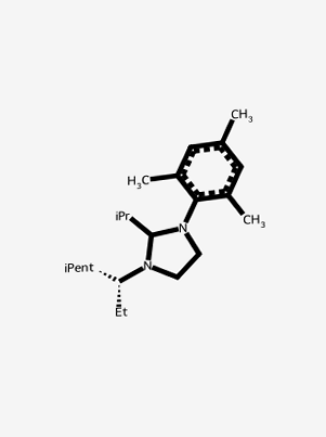 CCC[C@@H](C)[C@@H](CC)N1CCN(c2c(C)cc(C)cc2C)C1C(C)C